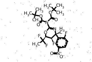 CC(C)(C)OC(=O)N(C(=O)OC(C)(C)C)C1=N[C@](C)(c2cc([N+](=O)[O-])ccc2F)[C@@H](F)[C@@H](C(C)(F)F)O1